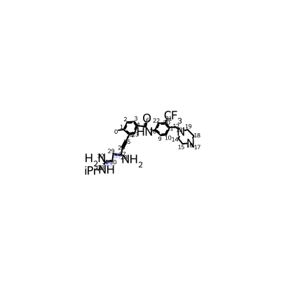 Cc1ccc(C(=O)Nc2ccc(CN3CCN(C)CC3)c(C(F)(F)F)c2)cc1C#C/C(N)=C/C=C(\N)NC(C)C